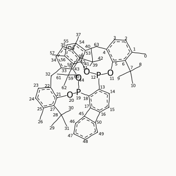 Cc1ccc2c(c1C(C)(C)C)OP(c1ccc3c(c1P1Oc4c(ccc(C)c4C(C)(C)C)Cc4ccc(C)c(C(C)(C)C)c4O1)-c1ccccc1-3)Oc1c(ccc(C)c1C(C)(C)C)C2